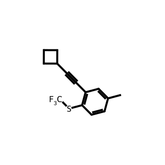 Cc1ccc(SC(F)(F)F)c(C#CC2CCC2)c1